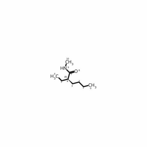 CCCC[C@@H](CC)C(=O)NC